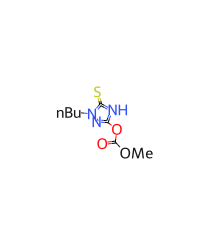 CCCCn1nc(OC(=O)OC)[nH]c1=S